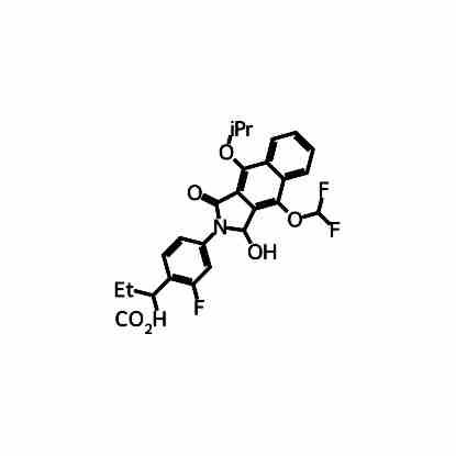 CCC(C(=O)O)c1ccc(N2C(=O)c3c(c(OC(F)F)c4ccccc4c3OC(C)C)C2O)cc1F